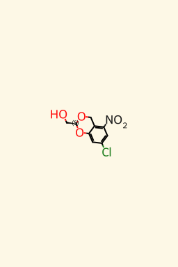 O=[N+]([O-])c1cc(Cl)cc2c1CO[C@H](CO)O2